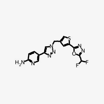 Nc1ccc(-c2cn(Cc3csc(-c4nnc(C(F)F)o4)c3)nn2)cn1